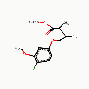 COC(=O)C(C)C(C)COc1ccc(F)c(OC)c1